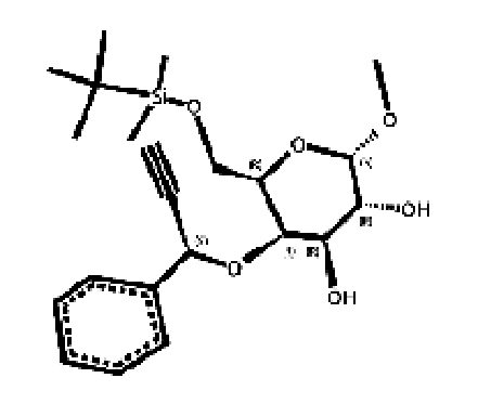 C#C[C@@H](O[C@@H]1[C@H](O)[C@@H](O)[C@@H](OC)O[C@@H]1CO[Si](C)(C)C(C)(C)C)c1ccccc1